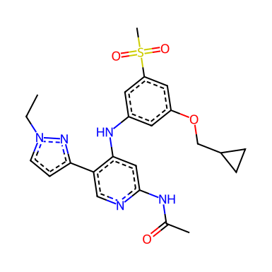 CCn1ccc(-c2cnc(NC(C)=O)cc2Nc2cc(OCC3CC3)cc(S(C)(=O)=O)c2)n1